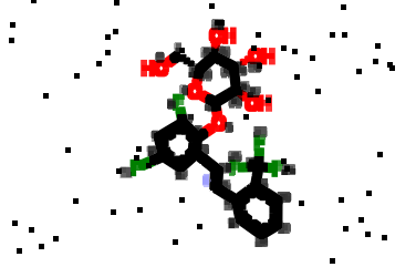 OC[C@H]1OC(Oc2c(F)cc(F)cc2/C=C/c2ccccc2C(F)(F)F)[C@H](O)[C@@H](O)[C@@H]1O